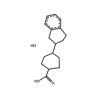 Cl.O=C(O)C1CCN(C2CCc3ccccc3C2)CC1